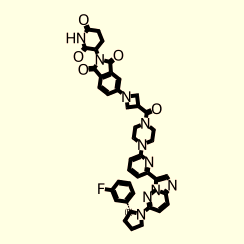 O=C1CCC(N2C(=O)c3ccc(N4CC(C(=O)N5CCN(c6cccc(-c7cnc8ccc(N9CCC[C@@H]9c9cccc(F)c9)nn78)n6)CC5)C4)cc3C2=O)C(=O)N1